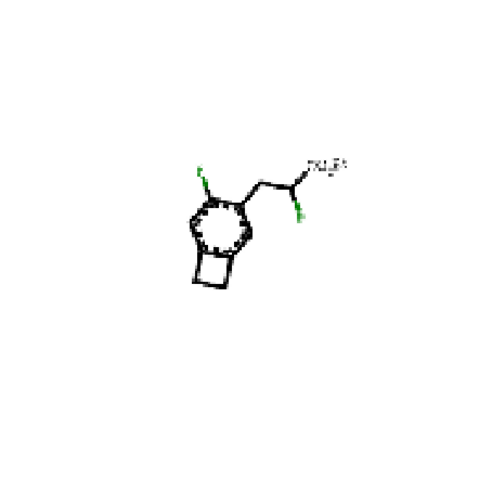 CCOC(=O)C(F)Cc1cc2c(cc1F)CC2